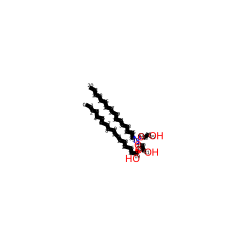 CCCCCCCCCCCCCCCCCC(=O)O.CCCCCCCCCCCCCCCCCN(OCCO)OCCO